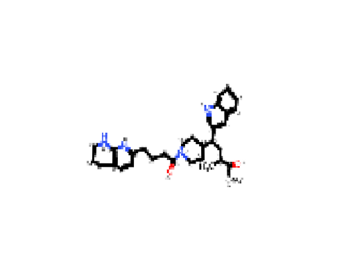 COC(=O)C(C)CC(c1cnc2ccccc2c1)C1CCN(C(=O)CCCc2ccc3c(n2)NCCC3)CC1